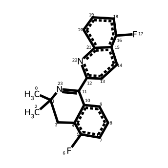 CC1(C)Cc2c(F)cccc2C(c2ccc3c(F)cccc3n2)=N1